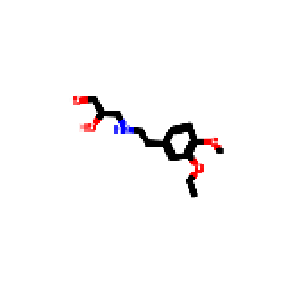 CCOc1cc(CCNCC(O)C[O])ccc1OC